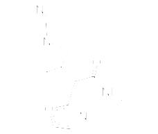 N#CN1CCC(C(C(N)=O)c2ncco2)C1